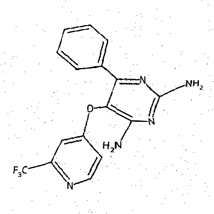 Nc1nc(N)c(Oc2ccnc(C(F)(F)F)c2)c(-c2ccccc2)n1